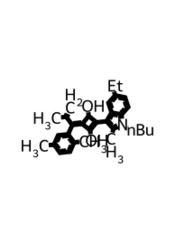 C=C(C)/C(=C1/C(O)=C(c2c(C)n(CCCC)c3ccc(CC)cc23)C1O)c1cc(C)ccc1C